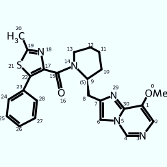 COc1cncn2cc(C[C@@H]3CCCCN3C(=O)c3nc(C)sc3-c3ccccc3)nc12